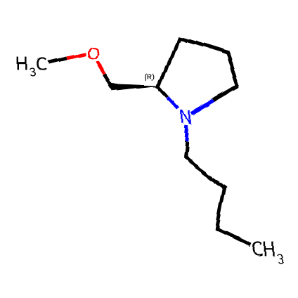 CCCCN1CCC[C@@H]1COC